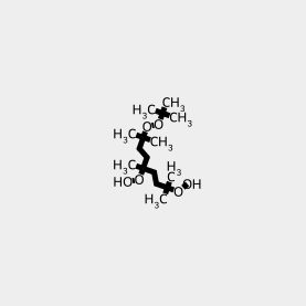 CC(C)(C)OOC(C)(C)CCC(C)(CCC(C)(C)OO)OO